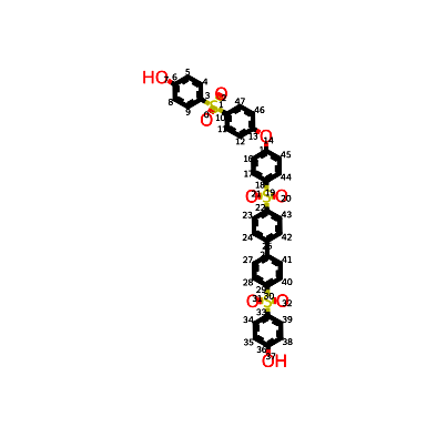 O=S(=O)(c1ccc(O)cc1)c1ccc(Oc2ccc(S(=O)(=O)c3ccc(-c4ccc(S(=O)(=O)c5ccc(O)cc5)cc4)cc3)cc2)cc1